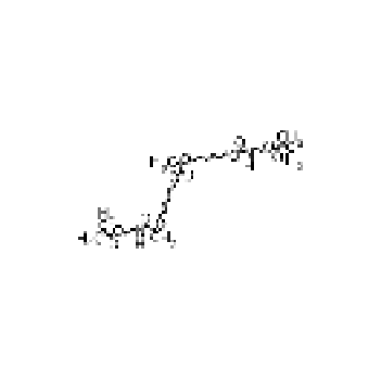 C=C(C)C(=O)OCCNC(=O)OCCCCCCOC(C)C(=O)OCCCCCCOC(C)C(=O)NCCOC(=O)C(=C)C